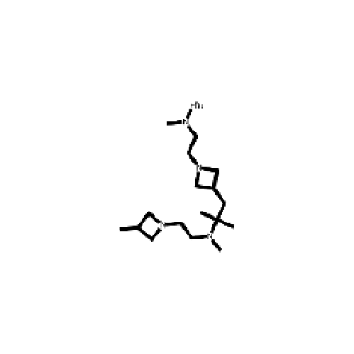 CC1CN(CCN(C)C(C)(C)CC2CN(CCN(C)C(C)(C)C)C2)C1